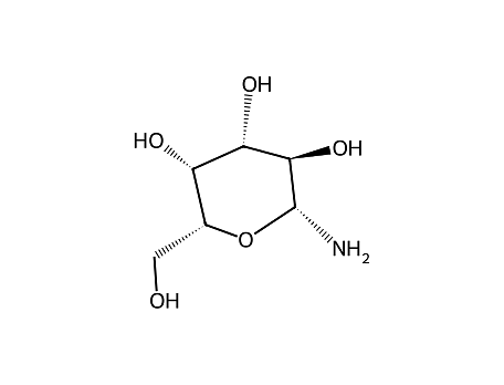 N[C@@H]1O[C@H](CO)[C@H](O)[C@H](O)[C@H]1O